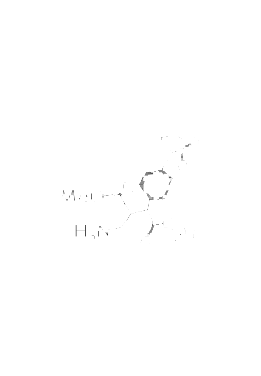 COC(=O)C(CN)C(C(=O)OC(C)(C)C)c1ccc(OS(C)(=O)=O)cc1